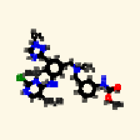 CCOC(=O)c1cnc(Cl)nc1Nc1cc(CN(C)Cc2cccc(NC(=O)OC(C)(C)C)c2)cc(-c2ncn(C)n2)c1OC